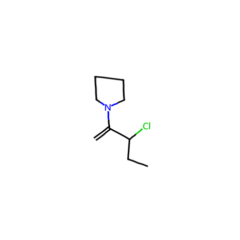 C=C(C(Cl)CC)N1CCCC1